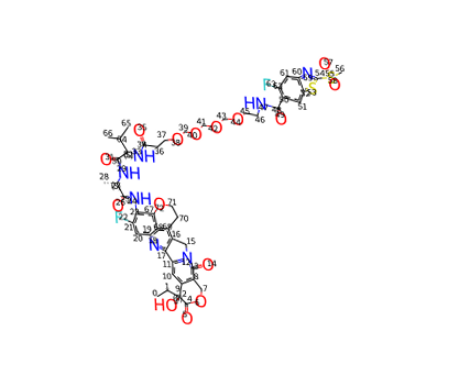 CC[C@@]1(O)C(=O)OCc2c1cc1n(c2=O)Cc2c-1nc1cc(F)c(NC(=O)[C@H](C)NC(=O)[C@@H](NC(=O)CCOCOCOCOCCNC(=O)c3cc4sc(S(C)(=O)=O)nc4cc3F)C(C)C)c3c1c2CCO3